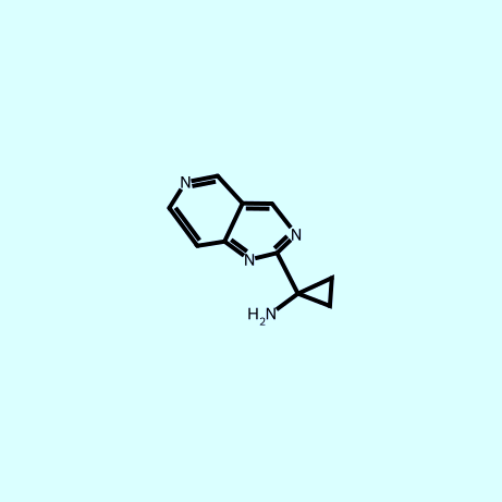 NC1(c2ncc3cnccc3n2)CC1